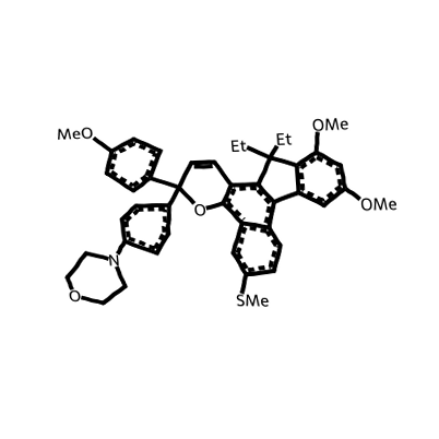 CCC1(CC)c2c(OC)cc(OC)cc2-c2c1c1c(c3cc(SC)ccc23)OC(c2ccc(OC)cc2)(c2ccc(N3CCOCC3)cc2)C=C1